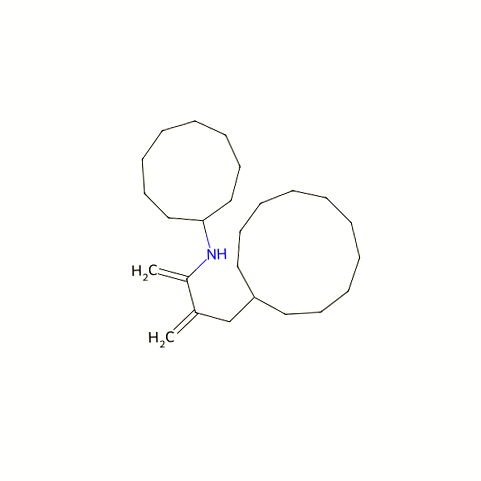 C=C(CC1CCCCCCCCCC1)C(=C)NC1CCCCCCCC1